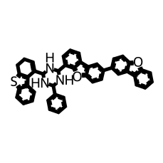 C1=C(C2NC(c3ccccc3)NC(c3cccc4c3oc3ccc(-c5ccc6oc7ccccc7c6c5)cc34)N2)c2c(sc3ccccc23)CC1